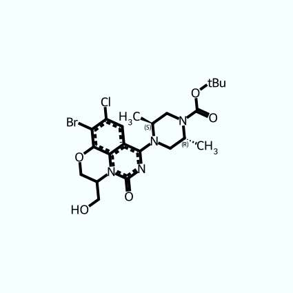 C[C@@H]1CN(c2nc(=O)n3c4c(c(Br)c(Cl)cc24)OCC3CO)[C@@H](C)CN1C(=O)OC(C)(C)C